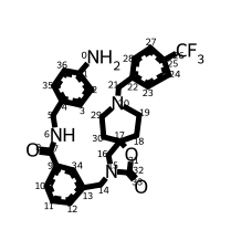 Nc1ccc(CNC(=O)c2cccc(CN3CC4(CCN(Cc5ccc(C(F)(F)F)cc5)CC4)OC3=O)c2)cc1